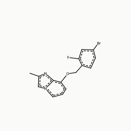 Cc1cn2cccc(OCc3ccc(Br)cc3F)c2n1